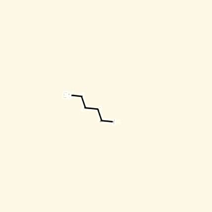 [CH2]CCCC[CH]I